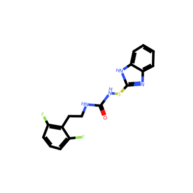 O=C(NCCc1c(F)cccc1F)NSc1nc2ccccc2[nH]1